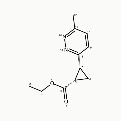 CCOC(=O)[C@H]1C[C@H]1c1ccc(C)nn1